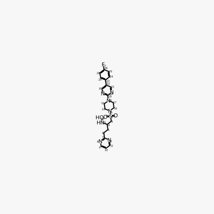 O=S(=O)(CC(CCc1ncccn1)NO)N1CCN(c2ncc(-c3ccc(F)cc3)cn2)CC1